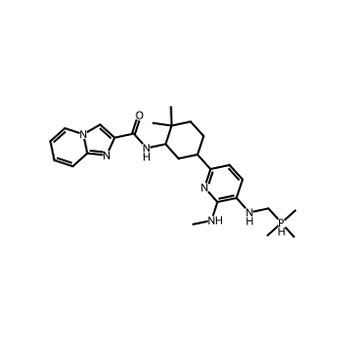 CNc1nc(C2CCC(C)(C)C(NC(=O)c3cn4ccccc4n3)C2)ccc1NC[PH](C)(C)C